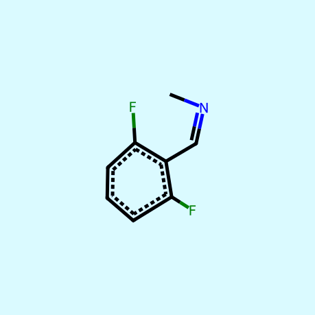 C/N=C\c1c(F)cccc1F